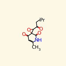 CC1=CC(=O)C2(OC2C(=O)CC(C)C)C(=O)N1